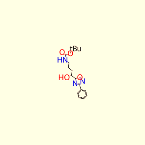 CC(C)(C)OC(=O)NCCCC(O)c1nc(-c2ccccc2)no1